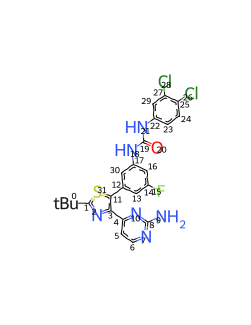 CC(C)(C)c1nc(-c2ccnc(N)n2)c(-c2cc(F)cc(NC(=O)Nc3ccc(Cl)c(Cl)c3)c2)s1